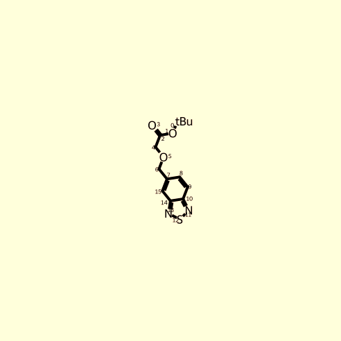 CC(C)(C)OC(=O)COCc1ccc2nsnc2c1